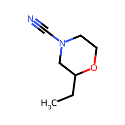 CCC1CN(C#N)CCO1